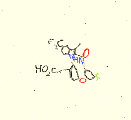 Cc1cc(Oc2cc(F)cc(CNC(=O)c3c(C)c4cc(C(F)(F)F)ccc4n3C)c2)ccc1CCC(=O)O